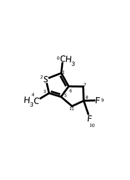 Cc1sc(C)c2c1CC(F)(F)C2